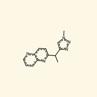 CC(c1cn(C)nn1)c1ccc2ncccc2n1